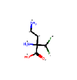 NCCC(N)(C(=O)O)C(F)F